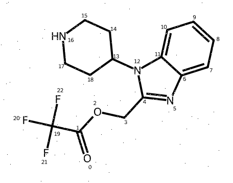 O=C(OCc1nc2ccccc2n1C1CCNCC1)C(F)(F)F